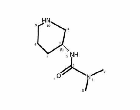 CN(C)C(=O)N[C@@H]1CCCNC1